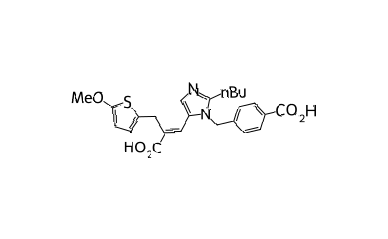 CCCCc1ncc(/C=C(\Cc2ccc(OC)s2)C(=O)O)n1Cc1ccc(C(=O)O)cc1